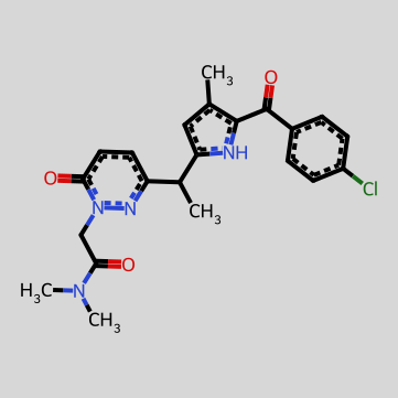 Cc1cc(C(C)c2ccc(=O)n(CC(=O)N(C)C)n2)[nH]c1C(=O)c1ccc(Cl)cc1